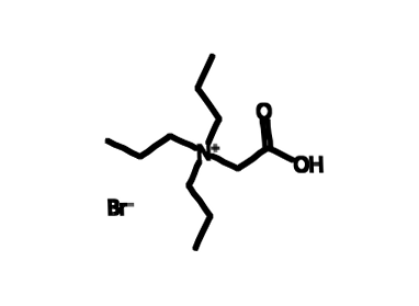 CCC[N+](CCC)(CCC)CC(=O)O.[Br-]